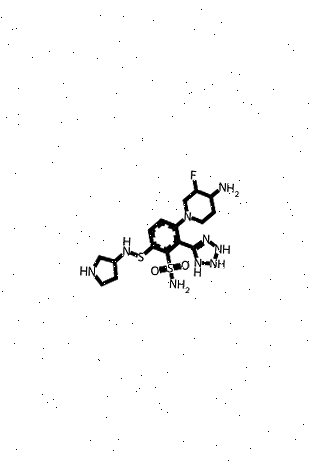 NC1CCN(c2ccc(SNC3CCNC3)c(S(N)(=O)=O)c2C2=NNNN2)CC1F